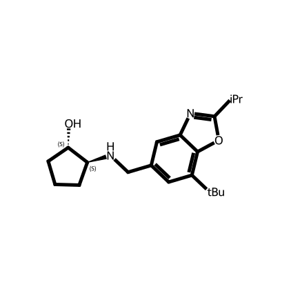 CC(C)c1nc2cc(CN[C@H]3CCC[C@@H]3O)cc(C(C)(C)C)c2o1